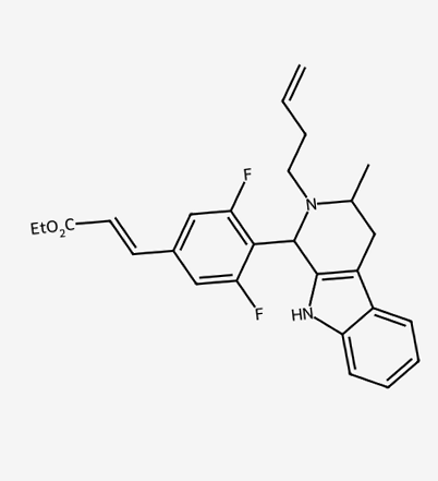 C=CCCN1C(C)Cc2c([nH]c3ccccc23)C1c1c(F)cc(/C=C/C(=O)OCC)cc1F